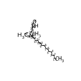 CCCCCCCCCCCCCCCC[N+](C)(CC)CCCNC=O